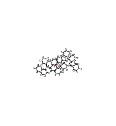 c1ccc(-c2cccc(-c3ccccc3N(c3cccc(-c4ccc5c(c4)C4(c6ccccc6-5)c5ccccc5-n5c6ccccc6c6cccc4c65)c3)c3cccc4ccccc34)c2)cc1